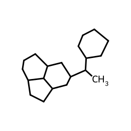 CC(C1CCCCC1)C1CC2CCCC3CCC(C1)C32